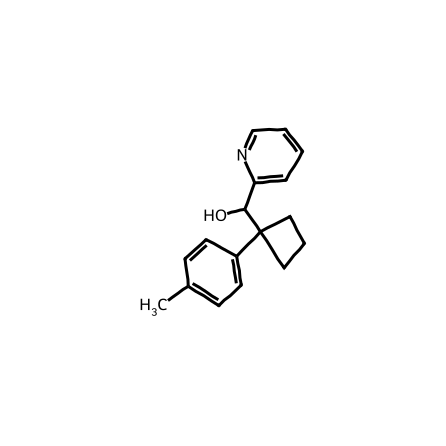 Cc1ccc(C2(C(O)c3ccccn3)CCC2)cc1